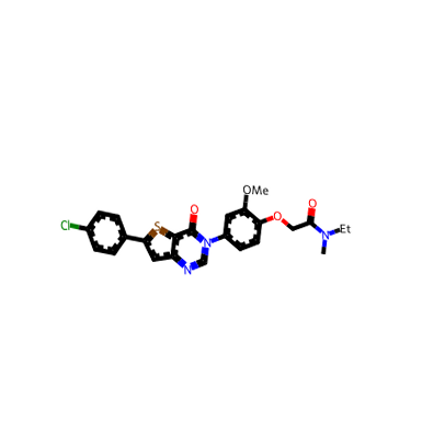 CCN(C)C(=O)COc1ccc(-n2cnc3cc(-c4ccc(Cl)cc4)sc3c2=O)cc1OC